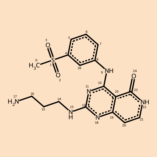 CS(=O)(=O)c1cccc(Nc2nc(NCCCN)nc3cc[nH]c(=O)c23)c1